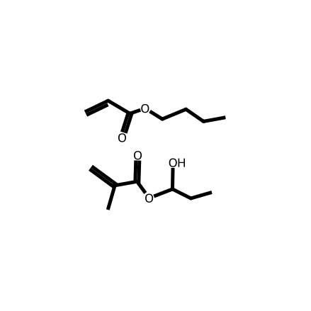 C=C(C)C(=O)OC(O)CC.C=CC(=O)OCCCC